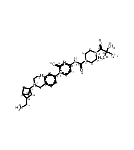 CCN(Cc1ccc(-n2ccc(NC(=O)N3CCN(C(=O)C(C)(C)N)CC3)nc2=O)cc1)C12CC(CN)C(C1)C2